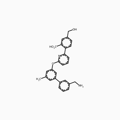 Cc1cc(Oc2cccc(-c3ccc(CO)cc3C(=O)O)n2)cc(-c2cccc(CN)c2)c1